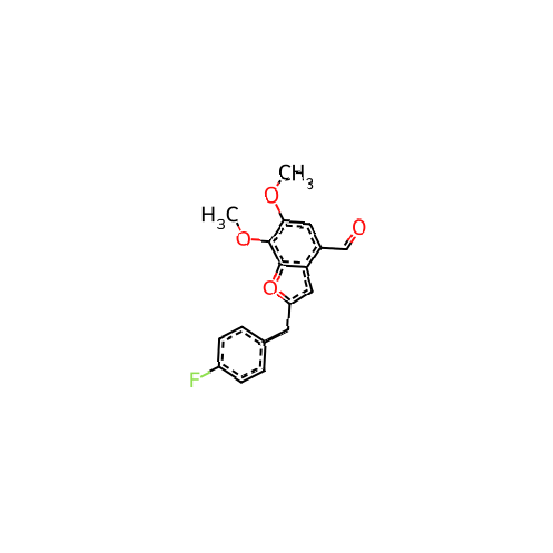 COc1cc(C=O)c2cc(Cc3ccc(F)cc3)oc2c1OC